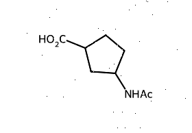 CC(=O)NC1CCC(C(=O)O)C1